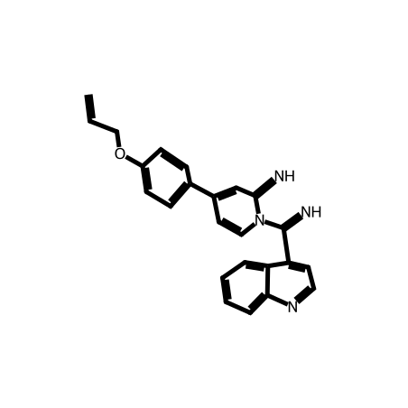 C=CCOc1ccc(-c2ccn(C(=N)c3ccnc4ccccc34)c(=N)c2)cc1